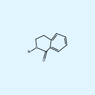 O=C1c2ccccc2CCN1Br